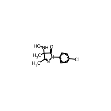 CC1=NN(c2ccc(Cl)cc2)C(=O)C1(C)NO